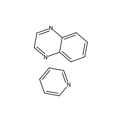 c1ccc2nccnc2c1.c1ccncc1